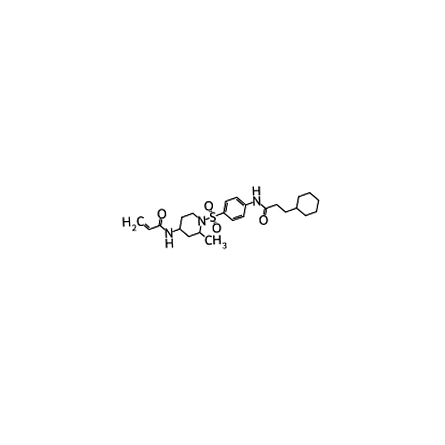 C=CC(=O)NC1CCN(S(=O)(=O)c2ccc(NC(=O)CCC3CCCCC3)cc2)C(C)C1